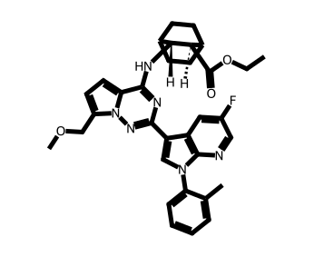 CCOC(=O)[C@@H]1C2CCC(CC2)[C@H]1Nc1nc(-c2cn(-c3ccccc3C)c3ncc(F)cc23)nn2c(COC)ccc12